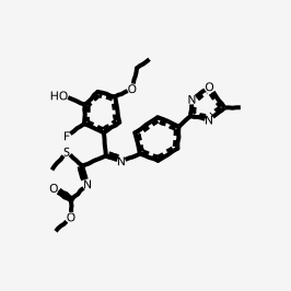 CCOc1cc(O)c(F)c(C(=N\c2ccc(-c3noc(C)n3)cc2)/C(=N/C(=O)OC)SC)c1